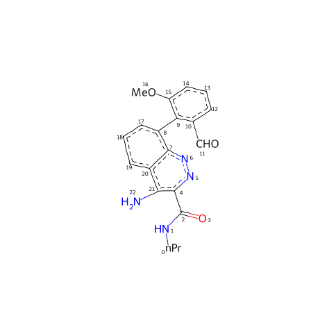 CCCNC(=O)c1nnc2c(-c3c(C=O)cccc3OC)cccc2c1N